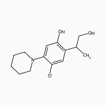 CC(CO)c1cc(Cl)c(N2CCCCC2)cc1O